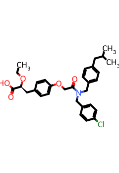 CCO[C@@H](Cc1ccc(OCC(=O)N(Cc2ccc(Cl)cc2)Cc2ccc(CC(C)C)cc2)cc1)C(=O)O